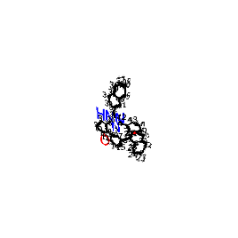 c1ccc(C2=NC(c3cccc4oc5ccc(-c6cccc7ccccc67)cc5c34)NC(c3ccc4ccccc4c3)=N2)cc1